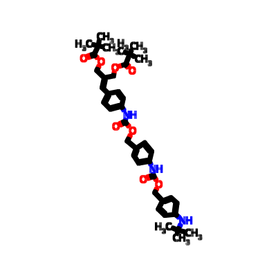 CC(C)(C)Nc1ccc(COC(=O)Nc2ccc(COC(=O)Nc3ccc(C=C(COC(=O)C(C)(C)C)COC(=O)C(C)(C)C)cc3)cc2)cc1